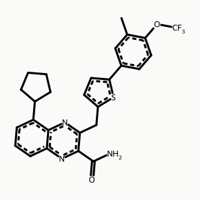 Cc1cc(-c2ccc(Cc3nc4c(C5CCCC5)cccc4nc3C(N)=O)s2)ccc1OC(F)(F)F